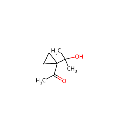 CC(=O)C1(C(C)(C)O)CC1